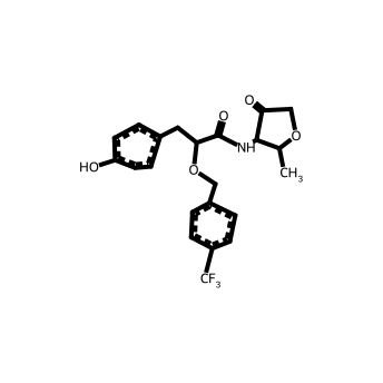 CC1OCC(=O)C1NC(=O)C(Cc1ccc(O)cc1)OCc1ccc(C(F)(F)F)cc1